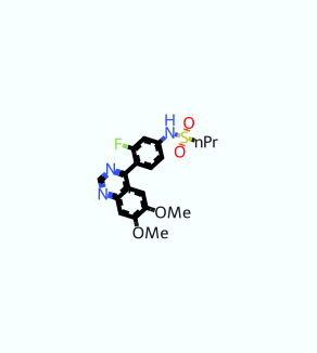 CCCS(=O)(=O)Nc1ccc(-c2ncnc3cc(OC)c(OC)cc23)c(F)c1